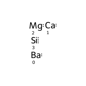 [Ba].[Ca].[Mg].[Si]